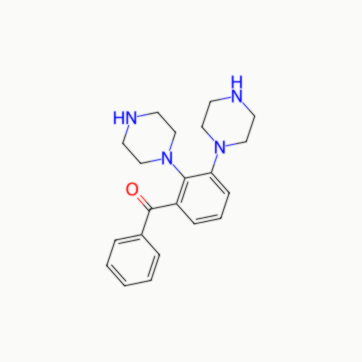 O=C(c1ccccc1)c1cccc(N2CCNCC2)c1N1CCNCC1